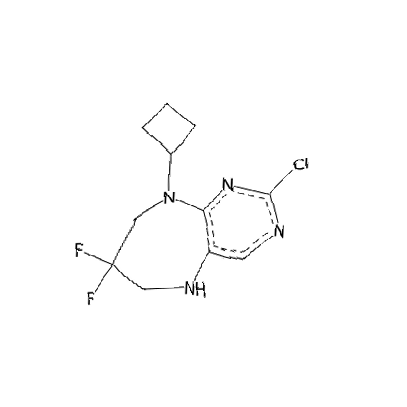 FC1(F)CNc2cnc(Cl)nc2N(C2CCC2)C1